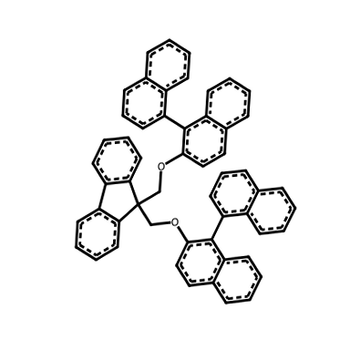 c1ccc2c(c1)-c1ccccc1C2(COc1ccc2ccccc2c1-c1cccc2ccccc12)COc1ccc2ccccc2c1-c1cccc2ccccc12